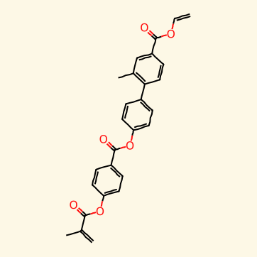 C=COC(=O)c1ccc(-c2ccc(OC(=O)c3ccc(OC(=O)C(=C)C)cc3)cc2)c(C)c1